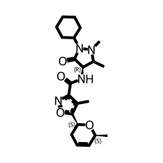 Cc1c(C(=O)N[C@H]2C(=O)N(C3CCCCC3)N(C)C2C)noc1[C@@H]1CC=C[C@H](C)O1